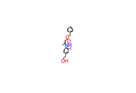 C/C(=C/C(=O)OCc1ccccc1)Nc1ccc(CCO)cc1I